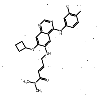 CN(C)C(=O)C=CCNc1cc2c(Nc3ccc(F)c(Cl)c3)ncnc2cc1OC1CCC1